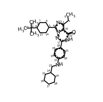 CCc1nc(C2CCC(C(C)(C)C)CC2)n2nc(-c3ccc(NCC4CCCCC4)cc3)[nH]c(=O)c12